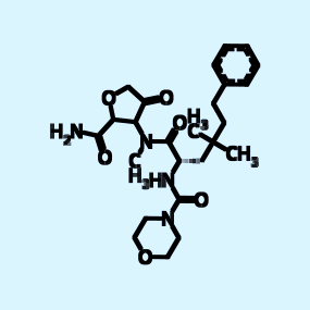 CN(C(=O)[C@H](CC(C)(C)CCc1ccccc1)NC(=O)N1CCOCC1)C1C(=O)COC1C(N)=O